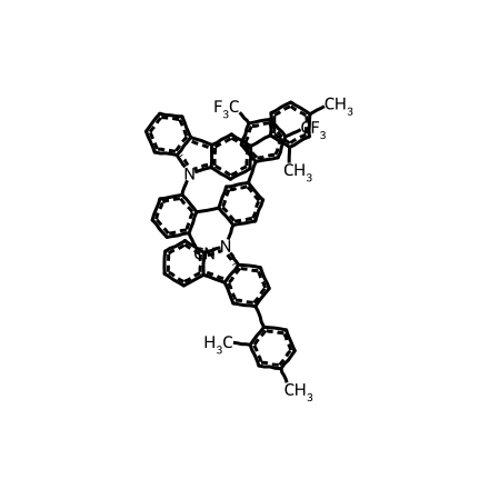 Cc1ccc(-c2ccc3c(c2)c2ccccc2n3-c2ccc(-c3cc(C(F)(F)F)cc(C(F)(F)F)c3)cc2-c2c(C#N)cccc2-n2c3ccccc3c3cc(-c4ccc(C)cc4C)ccc32)c(C)c1